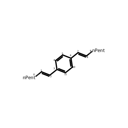 CCCCCC=Cc1ccc(C=CCCCCC)cc1